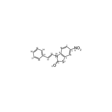 O=c1sc2cc([N+](=O)[O-])ccc2n1/C=C/c1ccccc1